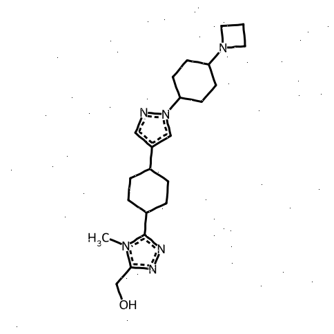 Cn1c(CO)nnc1C1CCC(c2cnn(C3CCC(N4CCC4)CC3)c2)CC1